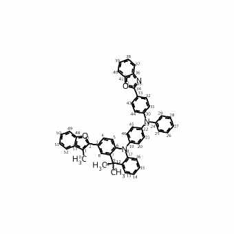 Cc1c(-c2ccc3c(c2)C(C)(C)c2ccccc2N3c2ccc(N(c3ccccc3)c3ccc(-c4nc5ccccc5o4)cc3)cc2)oc2ccccc12